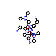 [C-]#[N+]c1cccc(-c2cccc(-c3nc(-c4ccc(-c5cccc(C#N)c5)cc4-n4c5ccccc5c5cc(-c6nc(-c7ccccc7)nc(-c7ccccc7)n6)ccc54)nc(-c4ccc(-c5cccc(C#N)c5)cc4-n4c5ccccc5c5cc(-c6nc(-c7ccccc7)nc(-c7ccccc7)n6)ccc54)n3)c2)c1